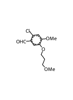 COCCCOc1cc(C=O)c(Cl)cc1OC